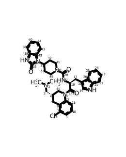 CN(C)C[C@H]1Cc2c(Cl)cccc2N(C(=O)[C@H](Cc2c[nH]c3ccccc23)NC(=O)N2CCC(n3c(=O)[nH]c4ccccc43)CC2)C1